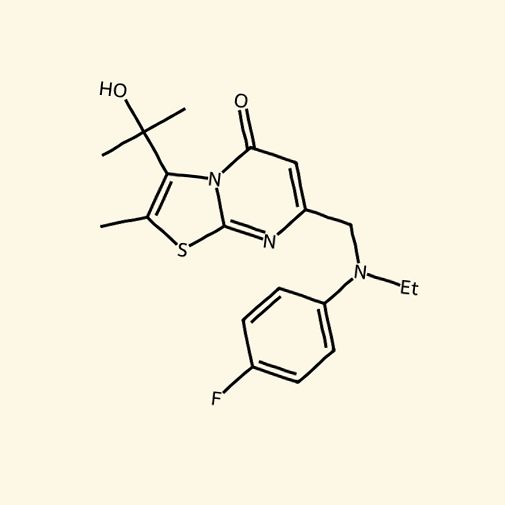 CCN(Cc1cc(=O)n2c(C(C)(C)O)c(C)sc2n1)c1ccc(F)cc1